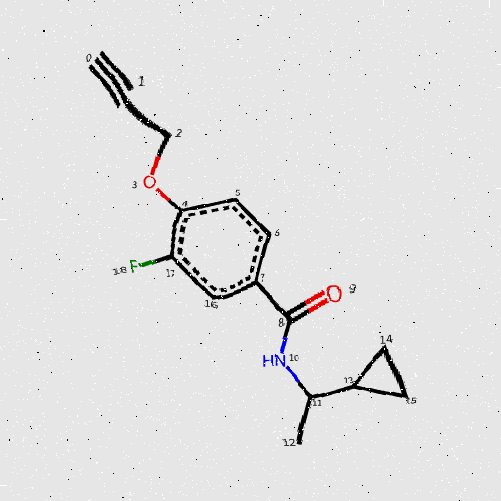 C#CCOc1ccc(C(=O)NC(C)C2CC2)cc1F